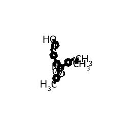 Cc1ccc(S(=O)(=O)n2cc(-c3ccc(CN(C)C)cc3)c3cc(-c4ccc(CN5CCCC(O)C5)cc4)cnc32)cc1